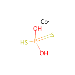 OP(O)(=S)S.[Co]